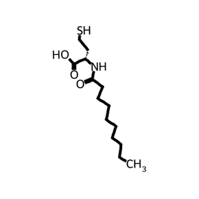 CCCCCCCCCC(=O)N[C@@H](CCS)C(=O)O